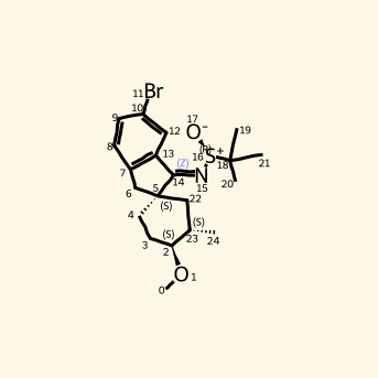 CO[C@H]1CC[C@@]2(Cc3ccc(Br)cc3/C2=N\[S@@+]([O-])C(C)(C)C)C[C@@H]1C